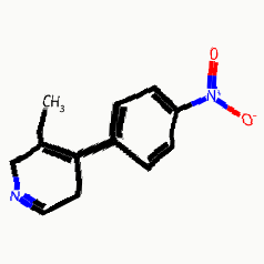 CC1=C(c2ccc([N+](=O)[O-])cc2)CC=NC1